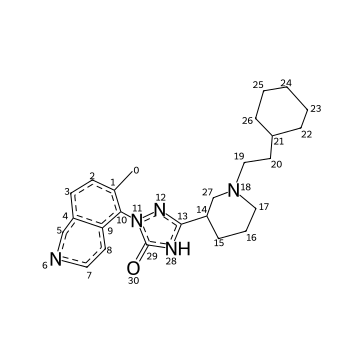 Cc1ccc2cnccc2c1-n1nc(C2CCCN(CCC3CCCCC3)C2)[nH]c1=O